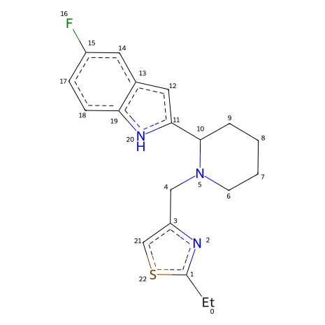 CCc1nc(CN2CCCCC2c2cc3cc(F)ccc3[nH]2)cs1